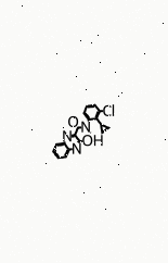 CN(C(=O)c1nc2ccccc2nc1O)c1cccc(Cl)c1C1CC1